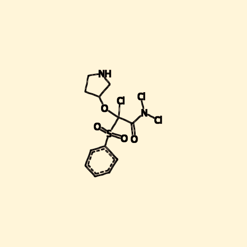 O=C(N(Cl)Cl)C(Cl)(OC1CCNC1)S(=O)(=O)c1ccccc1